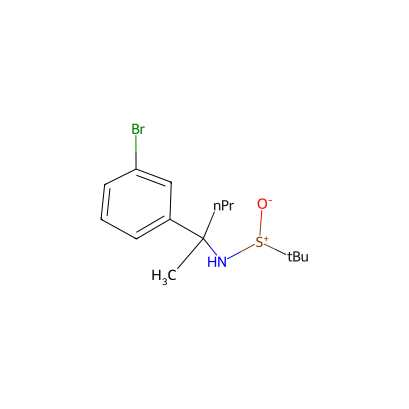 CCCC(C)(N[S+]([O-])C(C)(C)C)c1cccc(Br)c1